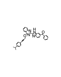 CC(C)c1ccc(C#CCOc2nc(-c3nc4ccc(C(=O)c5ccccc5)cc4[nH]3)nc3ccccc23)cc1